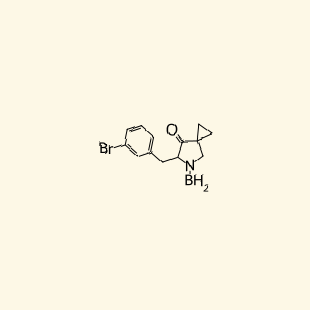 BN1CC2(CC2)C(=O)C1Cc1cccc(Br)c1